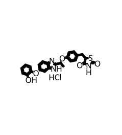 CC(Oc1ccc(CC2SC(=O)NC2=O)cc1)c1nc2ccc(Oc3ccccc3O)cc2[nH]1.Cl